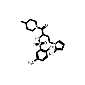 CC1CCN(C(=O)C(CCn2cccc2C#N)NS(=O)(=O)c2cc(C(F)(F)F)ccc2C(F)(F)F)CC1